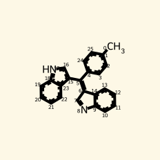 Cc1ccc(/C(=C2/C=Nc3ccccc32)c2c[nH]c3ccccc23)cc1